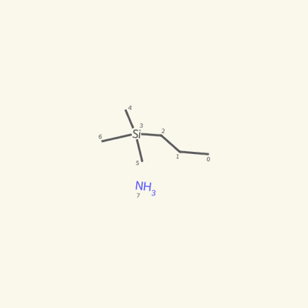 CCC[Si](C)(C)C.N